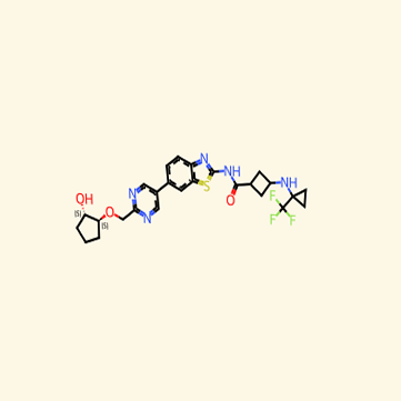 O=C(Nc1nc2ccc(-c3cnc(CO[C@H]4CCC[C@@H]4O)nc3)cc2s1)C1CC(NC2(C(F)(F)F)CC2)C1